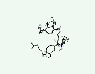 CC(C)CCC[C@@H](C)[C@H]1CCC2C3CC/C(=N/O)[C@](C)(CCCN(C)c4ccc([N+](=O)[O-])c5nonc45)C3CC[C@@]21C